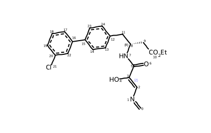 C=N/C=C(\O)C(=O)N[C@@H](CC(=O)OCC)Cc1ccc(-c2cccc(Cl)c2)cc1